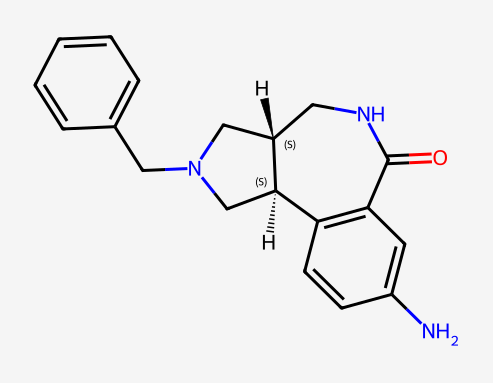 Nc1ccc2c(c1)C(=O)NC[C@H]1CN(Cc3ccccc3)C[C@H]21